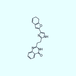 O=c1[nH]c(CCc2nc(-c3cc4c(o3)CCC=C4)c[nH]2)nc2ccccc12